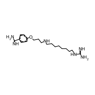 N=C(N)NCCCCCCCCNCCCOc1ccc(C(=N)N)cc1